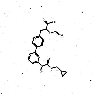 CCOC(Cc1ccc(-c2cccc(N(C)C(=O)NCC3CC3)c2)cc1)C(=O)O